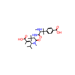 CNC(C(=O)N[C@H](C(=O)N(C)[C@H](/C=C(\C)C(=O)O)C(C)C)C(C)(C)C)C(C)(C)c1ccc(C(=O)O)cc1